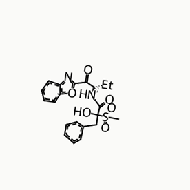 CC[C@H](NC(=O)C(O)(Cc1ccccc1)S(C)(=O)=O)C(=O)c1nc2ccccc2o1